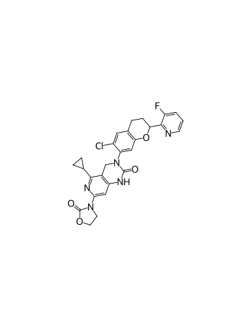 O=C1OCCN1c1cc2c(c(C3CC3)n1)CN(c1cc3c(cc1Cl)CCC(c1ncccc1F)O3)C(=O)N2